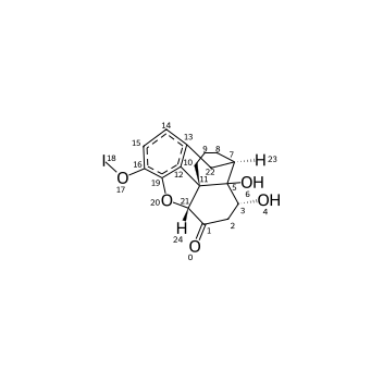 O=C1C[C@@H](O)C2(O)[C@@H]3CCC[C@@]24c2c(ccc(OI)c2O[C@@H]14)C3